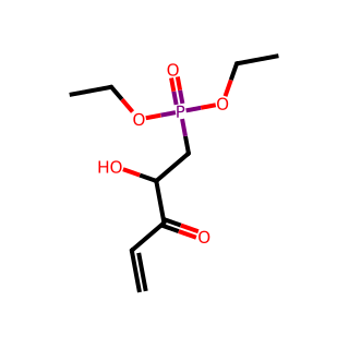 C=CC(=O)C(O)CP(=O)(OCC)OCC